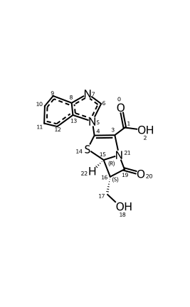 O=C(O)C1=C(n2cnc3ccccc32)S[C@@H]2[C@@H](CO)C(=O)N12